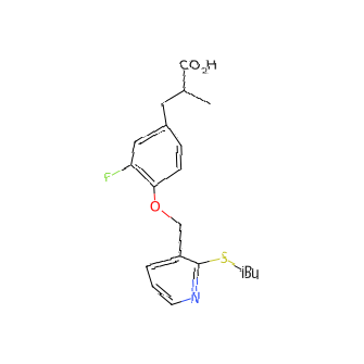 CCC(C)Sc1ncccc1COc1ccc(CC(C)C(=O)O)cc1F